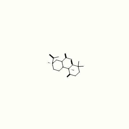 C=C1C[C@@]23C[C@@H]1CC[C@@H]2[C@@]1(C)C(=O)CCC(C)(C)C1=CC3=O